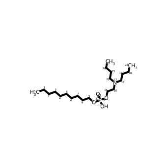 CCCCCCCCCCOP(=O)(O)OCCN(CCCC)CCCC